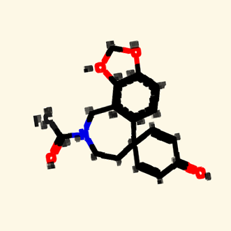 O=C1C=CC2(C=C1)CCN(C(=O)C(F)(F)F)Cc1c2ccc2c1OCO2